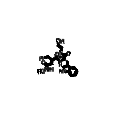 CC(C)CC(CC(=O)NO)C(=O)N[C@@H](Cc1c[nH]c2ccccc12)C(=O)NCCO